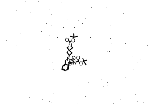 CC(C)(C)OC(=O)NS(=O)(=O)N(Cc1ccccc1)C1CC2(C1)CN(C(=O)OC(C)(C)C)C2